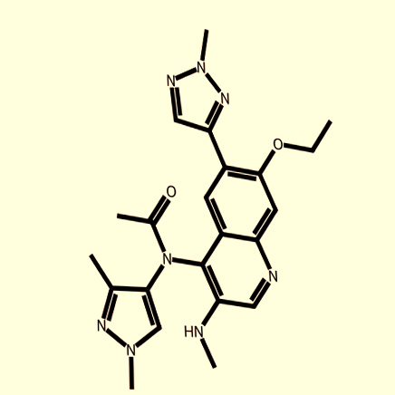 CCOc1cc2ncc(NC)c(N(C(C)=O)c3cn(C)nc3C)c2cc1-c1cnn(C)n1